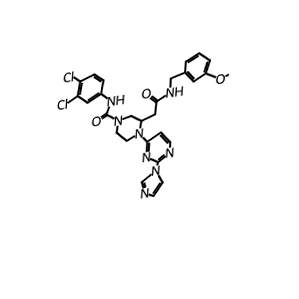 COc1cccc(CNC(=O)CC2CN(C(=O)Nc3ccc(Cl)c(Cl)c3)CCN2c2ccnc(-n3ccnc3)n2)c1